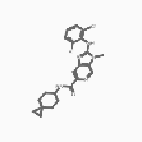 Cn1c(Nc2c(Cl)cccc2Cl)nc2cc(C(=O)NC3CCC4(CC3)CC4)ncc21